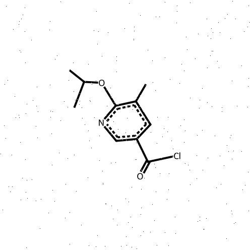 Cc1cc(C(=O)Cl)cnc1OC(C)C